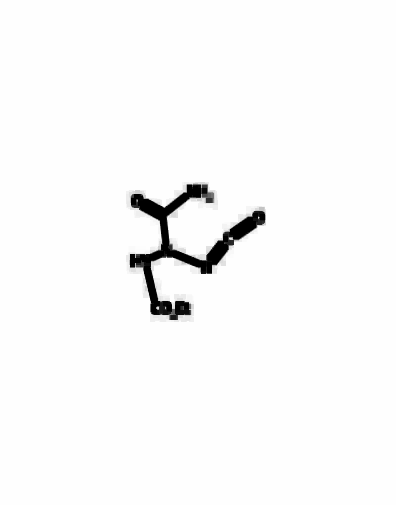 CCOC(=O)NN(N=C=O)C(N)=O